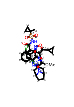 COc1nc2cc(C(=O)NS(=O)(=O)C3(C)CC3)ccc2nc1N1C2CCC1CC(NCc1c(-c3c(Cl)cccc3Cl)noc1C1CC1)C2